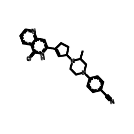 CC1CN(c2ccc(C#N)cc2)CCN1C1C=C(c2cc3ncccc3c(=O)[nH]2)CC1